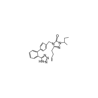 C=CCCc1nn(C(C)CC)c(=O)n1Cc1ccc(-c2ccccc2-c2nnn[nH]2)cc1